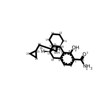 NC(=O)c1ccc2c(c1O)[C@@]13CCCC[C@@]1(O)[C@@H](C2)C(CC1CC1)CC3